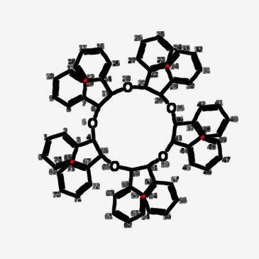 c1ccc(C2OC(c3ccccc3)C(c3ccccc3)OC(c3ccccc3)C(c3ccccc3)OC(c3ccccc3)C(c3ccccc3)OC(c3ccccc3)C(c3ccccc3)OC2c2ccccc2)cc1